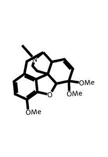 COc1ccc2c3c1OC1C(OC)(OC)C=CC4C(C2)N(C)CCC341